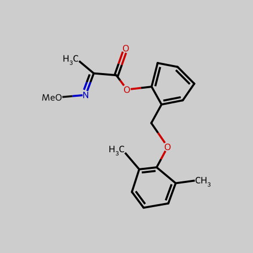 CON=C(C)C(=O)Oc1ccccc1COc1c(C)cccc1C